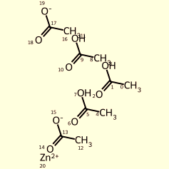 CC(=O)O.CC(=O)O.CC(=O)O.CC(=O)[O-].CC(=O)[O-].[Zn+2]